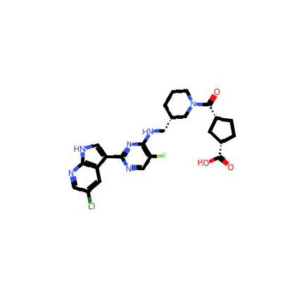 O=C(O)[C@H]1CC[C@@H](C(=O)N2CCC[C@@H](CNc3nc(-c4c[nH]c5ncc(Cl)cc45)ncc3F)C2)C1